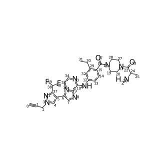 C#CCn1cc(-c2cnc3c(Nc4ccc(C(=O)N5CCN(C(=O)C(C)N)CC5)c(CC)c4)nccn23)c(C(F)F)n1